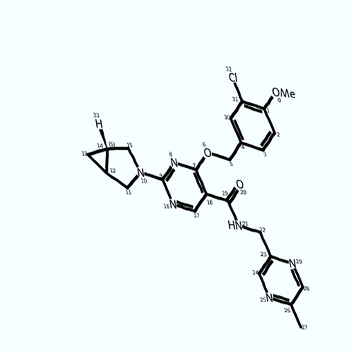 COc1ccc(COc2nc(N3CC4C[C@@H]4C3)ncc2C(=O)NCc2cnc(C)cn2)cc1Cl